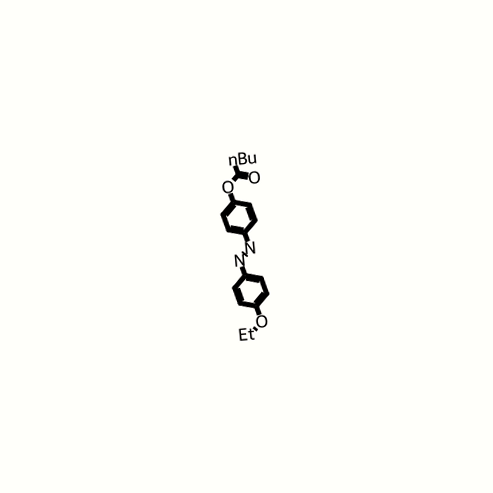 CCCCC(=O)Oc1ccc(N=Nc2ccc(OCC)cc2)cc1